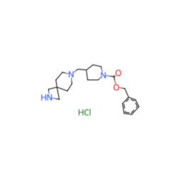 Cl.O=C(OCc1ccccc1)N1CCC(CN2CCC3(CC2)CNC3)CC1